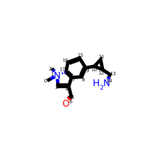 C[N+]1(C)C=C(C=O)c2cc(C3CC3CN)ccc21